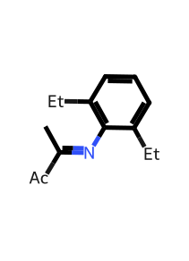 CCc1cccc(CC)c1/N=C(\C)C(C)=O